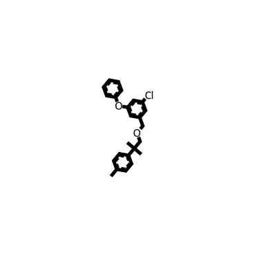 Cc1ccc(C(C)(C)COCc2cc(Cl)cc(Oc3ccccc3)c2)cc1